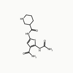 NC(=O)Nc1sc(NC(=O)C2CCCNC2)cc1C(N)=O